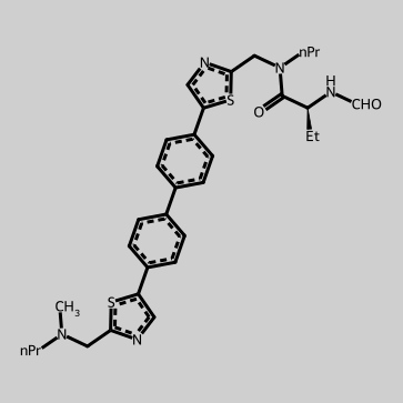 CCCN(C)Cc1ncc(-c2ccc(-c3ccc(-c4cnc(CN(CCC)C(=O)[C@H](CC)NC=O)s4)cc3)cc2)s1